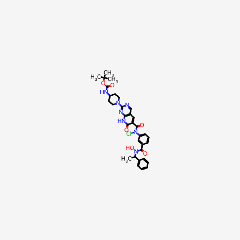 CC(c1ccccc1)N(O)C(=O)c1cccc(N(Cl)C(=O)c2cc3cnc(N4CCC(NC(=O)OC(C)(C)C)CC4)nc3[nH]c2=O)c1